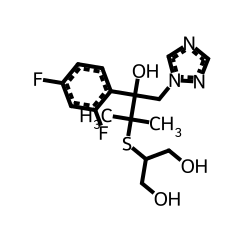 CC(C)(SC(CO)CO)C(O)(Cn1cncn1)c1ccc(F)cc1F